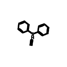 C#C[SH](c1ccccc1)c1ccccc1